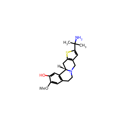 COc1cc2c(cc1O)[C@@H]1Cc3sc(C(C)(C)N)cc3CN1CC2